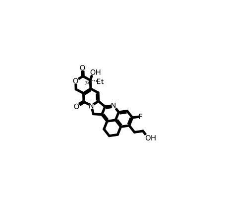 CC[C@@]1(O)C(=O)OCc2c1cc1n(c2=O)Cc2c-1nc1cc(F)c(CCO)c3c1c2CCC3